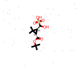 CC(C)(C)OC(=O)[C@H]1[C@H](C(O)S(=O)(=O)O)C1(C)C